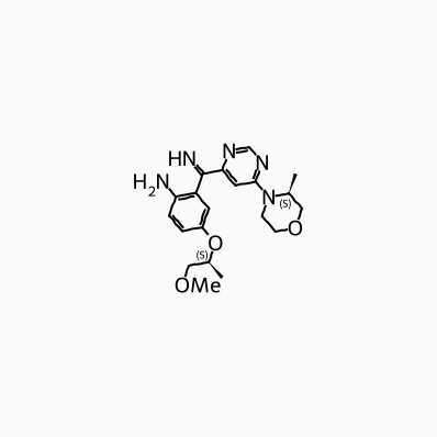 COC[C@H](C)Oc1ccc(N)c(C(=N)c2cc(N3CCOC[C@@H]3C)ncn2)c1